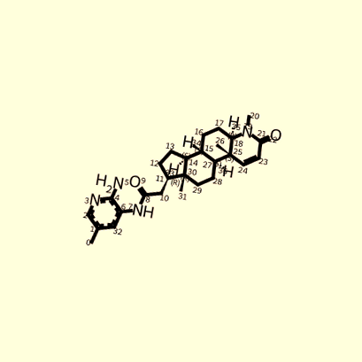 Cc1cnc(N)c(NC(=O)C[C@H]2CC[C@H]3[C@@H]4CC[C@H]5N(C)C(=O)C=C[C@]5(C)[C@H]4CC[C@]23C)c1